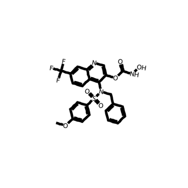 COc1ccc(S(=O)(=O)N(Cc2ccccc2)c2c(OC(=O)NO)cnc3cc(C(F)(F)F)ccc23)cc1